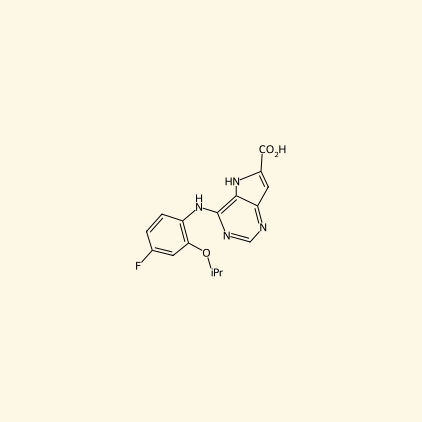 CC(C)Oc1cc(F)ccc1Nc1ncnc2cc(C(=O)O)[nH]c12